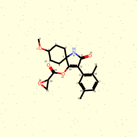 COC1CCC2(CC1)NC(=O)C(c1cc(C)ccc1C)=C2OC(=O)C1CO1